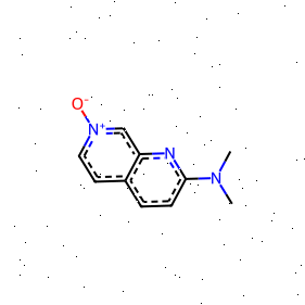 CN(C)c1ccc2cc[n+]([O-])cc2n1